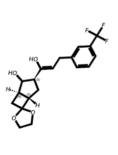 OC(=CCc1cccc(C(F)(F)F)c1)[C@H]1C[C@H]2[C@@H](CC23OCCO3)C1O